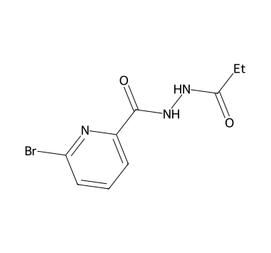 CCC(=O)NNC(=O)c1cccc(Br)n1